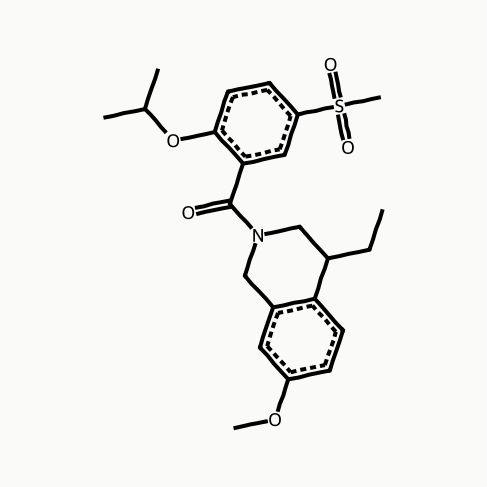 CCC1CN(C(=O)c2cc(S(C)(=O)=O)ccc2OC(C)C)Cc2cc(OC)ccc21